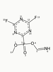 COP(=O)(OC=N)c1nc(F)nc(F)n1